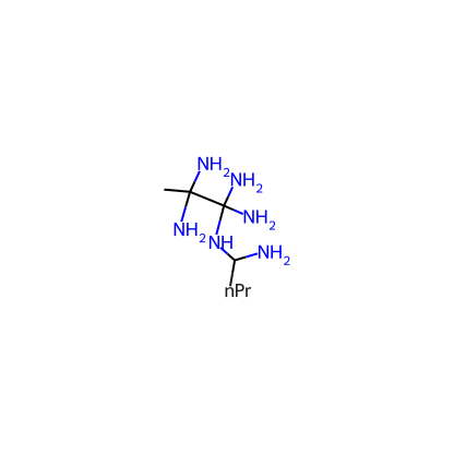 CCCC(N)NC(N)(N)C(C)(N)N